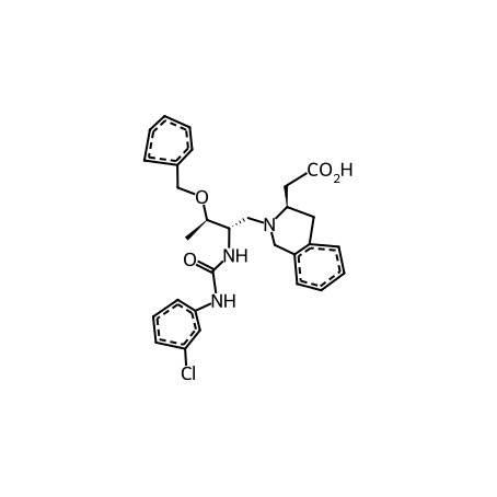 C[C@@H](OCc1ccccc1)[C@H](CN1Cc2ccccc2C[C@@H]1CC(=O)O)NC(=O)Nc1cccc(Cl)c1